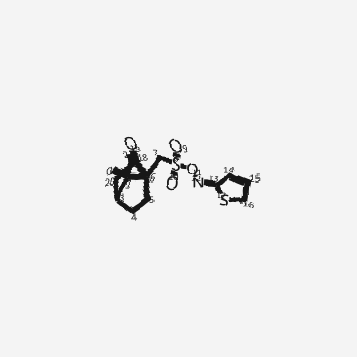 CC1(C)C2CCC1(CS(=O)(=O)ON=C1C=C[C]S1)C(=O)C2